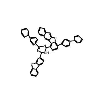 c1ccc(-c2ccc(C3=NC(c4ccc5c(c4)oc4ccccc45)NC(c4ccc(-c5ccc(-c6ccccc6)cc5)c5oc6cc7ccccc7cc6c45)=N3)cc2)cc1